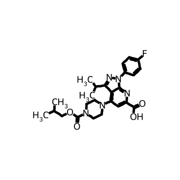 CC(C)COC(=O)N1CCN(c2cc(C(=O)O)nc3c2c(C(C)C)nn3-c2ccc(F)cc2)CC1